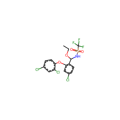 CCOC(NS(=O)(=O)C(F)(F)F)c1ccc(Cl)cc1Oc1ccc(Cl)cc1Cl